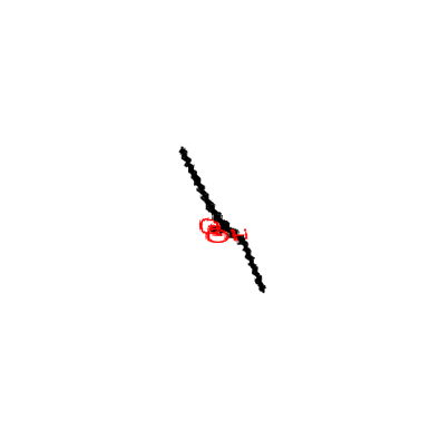 CCCCCCCCC=CCCCCCCCCCCC(CCCCCCC=CCCCCCCCC)C(=O)O